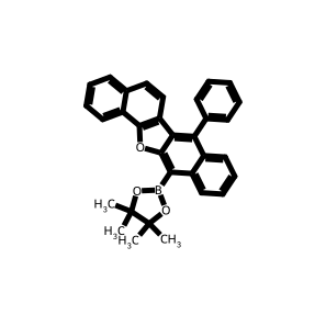 CC1(C)OB(c2c3ccccc3c(-c3ccccc3)c3c2oc2c4ccccc4ccc23)OC1(C)C